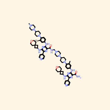 CCc1cc(Nc2nc(NC3CC4(CCOCC4)C3)c(-c3ccncc3)nc2C(=O)NCN2CCN(C3CCN(c4ccc(Nc5nc(NC6CC7(CCOCC7)C6)c(-c6ccncc6)nc5C(N)=O)cc4C)CC3)CC2)ccc1N1CCC(N2CCN(C)CC2)CC1